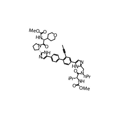 CC#Cc1cc(-c2cnc(CN(CCC)C(=O)[C@@H](NC(=O)OC)C(C)C)[nH]2)ccc1-c1ccc(-c2cnc([C@@H]3CCCN3C(=O)[C@@H](NC(=O)OC)C3CCOCC3)[nH]2)cc1